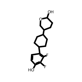 Oc1ccc(C2CCC(C3CCC(O)OC3)CC2)c(F)c1F